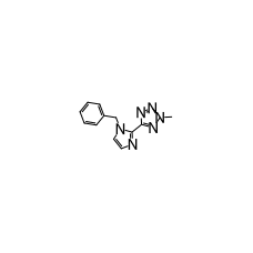 Cn1nnc(-c2nccn2Cc2ccccc2)n1